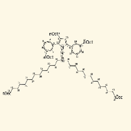 CCCCCCCCC1=C(c2cccc(CCCCCCCC)c2)[N+](=[N-])C(c2cccc(CCCCCCCC)c2)=C1.CCCCCCCCCCCCCCCCCCCCCC[CH2][Ni][CH2]CCCCCCCCCCCCCCCCCCCCCC